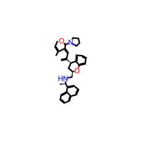 C=C(/C=C(C(=O)N1CCCC1)\C(C)=C/C)[C@@H]1C[C@H](CN[C@H](C)c2cccc3ccccc23)Oc2ccccc21